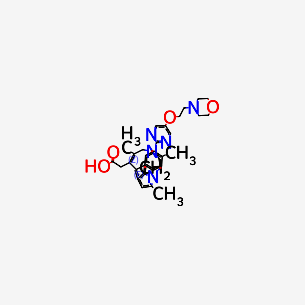 C=c1/c2cc(C)n1CCN(c1ncc(OCCN3CCOCC3)cn1)C/C(C)=C(CC(=O)O)\C=2c1ccc(C)cc1